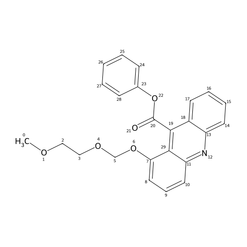 COCCOCOc1cccc2nc3ccccc3c(C(=O)Oc3ccccc3)c12